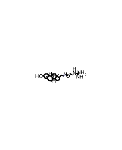 C[C@]12CCC(O)CC1CC[C@@H]1[C@H]2CC[C@]2(C)C(C/C=N/OCCNC(=N)N)CC[C@@H]12